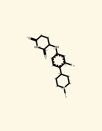 O=C1CCC(Nc2ccc(C3CCN(I)CC3)c(F)c2)C(=O)N1